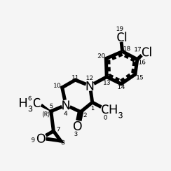 CC1C(=O)N([C@H](C)C2CO2)CCN1c1ccc(Cl)c(Cl)c1